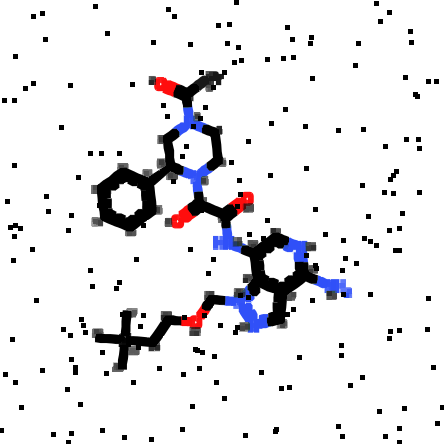 CC(C)C(=O)N1CCN(C(=O)C(=O)Nc2cnc(N)c3cnn(COCC[Si](C)(C)C)c23)[C@@H](c2ccccc2)C1